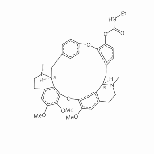 CCNC(=O)Oc1ccc2cc1Oc1ccc(cc1)C[C@H]1c3c(cc(OC)c(OC)c3Oc3cc4c(cc3OC)CCN(C)[C@@H]4C2)CCN1C